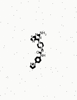 Nc1nc(N2CCN(OC(=O)Nc3ccc(-n4cccn4)cc3)CC2)c2ncsc2n1